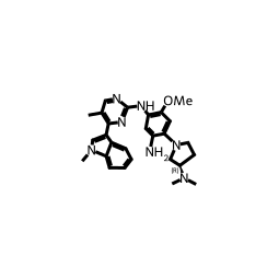 COc1cc(N2CC[C@@H](N(C)C)C2)c(N)cc1Nc1ncc(C)c(-c2cn(C)c3ccccc23)n1